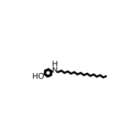 CCCCCCCCCCCCCCCCNc1ccc(O)cc1